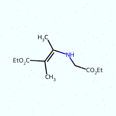 CCOC(=O)CNC(C)=C(C)C(=O)OCC